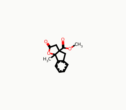 COC(=O)C12CC(=O)OC1(C)c1ccccc1C2